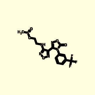 CS(=O)OCCNc1nonc1-c1noc(=O)n1-c1cccc(C(F)(F)F)c1